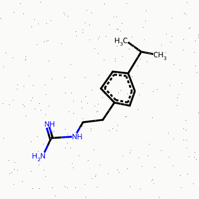 CC(C)c1ccc(CCNC(=N)N)cc1